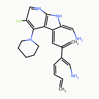 C=C/C=C\C(=C/N)C(=C)/C=c1\c(=C/N)[nH]c2ncc(F)c(N3CCCCC3)c12